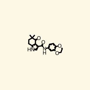 CC1(C)CCc2[nH]cc(C(=O)Nc3ccc4c(c3)OCCO4)c2C1=O